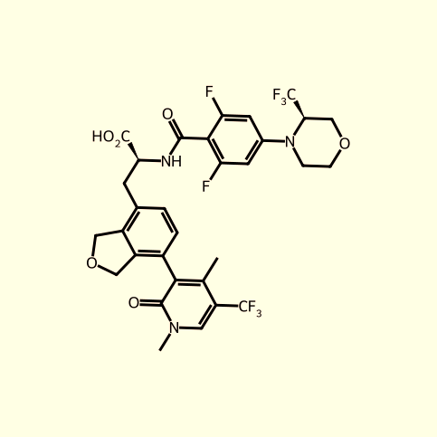 Cc1c(C(F)(F)F)cn(C)c(=O)c1-c1ccc(C[C@H](NC(=O)c2c(F)cc(N3CCOC[C@@H]3C(F)(F)F)cc2F)C(=O)O)c2c1COC2